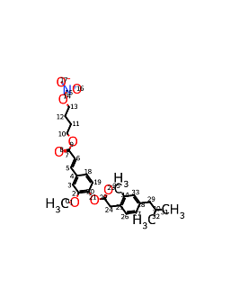 COc1cc(/C=C/C(=O)OCCCCO[N+](=O)[O-])ccc1OC(=O)Cc1ccc(CC(C)C)cc1C